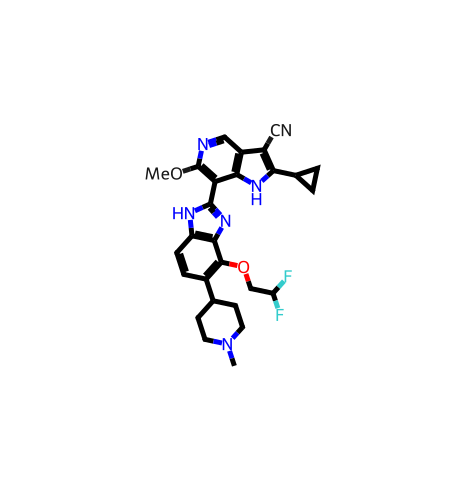 COc1ncc2c(C#N)c(C3CC3)[nH]c2c1-c1nc2c(OCC(F)F)c(C3CCN(C)CC3)ccc2[nH]1